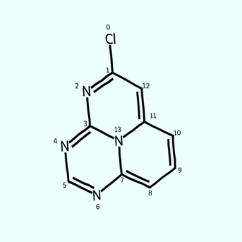 ClC1=NC2=NC=NC3=CC=CC(=C1)N32